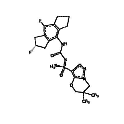 CC1(C)COc2c([S@](N)(=O)=NC(=O)Nc3c4c(c(F)c5c3C[C@H](F)C5)CCC4)cnn2C1